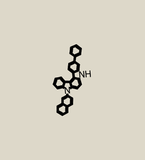 c1ccc(-c2ccc3c(c2)[nH]c2ccc4c(c5ccccc5n4-c4ccc5ccccc5c4)c23)cc1